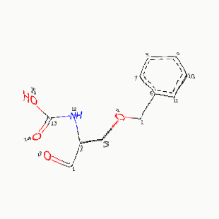 O=CC(COCc1ccccc1)NC(=O)O